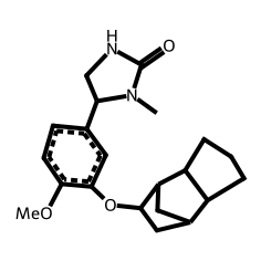 COc1ccc(C2CNC(=O)N2C)cc1OC1CC2CC1C1CCCC21